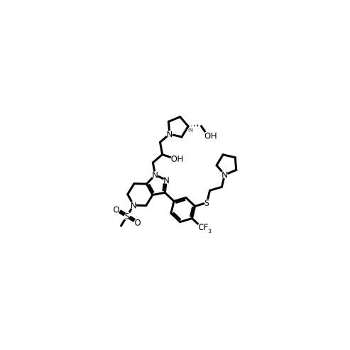 CS(=O)(=O)N1CCc2c(c(-c3ccc(C(F)(F)F)c(SCCN4CCCC4)c3)nn2CC(O)CN2CC[C@H](CO)C2)C1